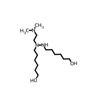 CN(C)CCN(CCCCCCO)NCCCCCCO